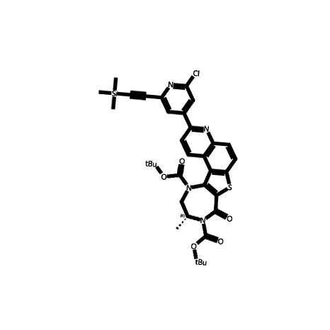 C[C@@H]1CN(C(=O)OC(C)(C)C)c2c(sc3ccc4nc(-c5cc(Cl)nc(C#C[Si](C)(C)C)c5)ccc4c23)C(=O)N1C(=O)OC(C)(C)C